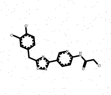 O=C(CCl)Nc1ccc(-c2noc(Cc3ccc(Cl)c(Cl)c3)n2)cn1